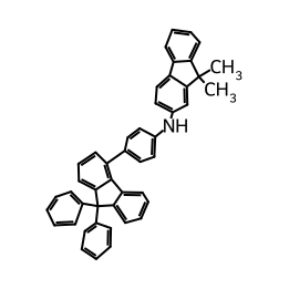 CC1(C)c2ccccc2-c2ccc(Nc3ccc(-c4cccc5c4-c4ccccc4C5(c4ccccc4)c4ccccc4)cc3)cc21